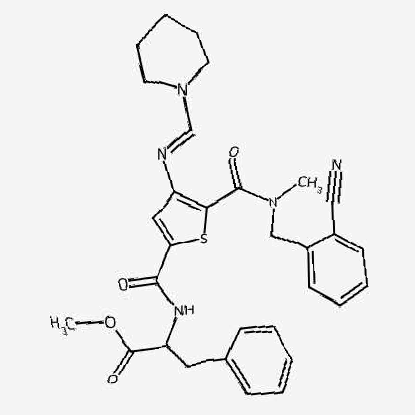 COC(=O)C(Cc1ccccc1)NC(=O)c1cc(/N=C/N2CCCCC2)c(C(=O)N(C)Cc2ccccc2C#N)s1